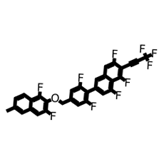 Cc1ccc2c(F)c(OCc3cc(F)c(-c4cc(F)c5c(F)c(C#CC(F)(F)F)c(F)cc5c4)c(F)c3)c(F)cc2c1